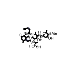 C#C/C=C\C#C[C@H](OC1CC(O)[C@H](NOC2C[C@H](O)[C@H](SC)C(C)O2)C(C)O1)C1=C(NC)C(=O)CC(C)/C1=C/CSSC(C)P(O)O